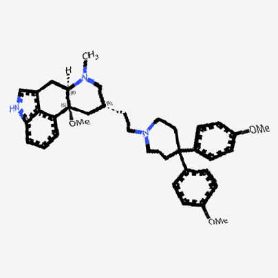 COc1ccc(C2(c3ccc(OC)cc3)CCN(CC[C@H]3CN(C)[C@@H]4Cc5c[nH]c6cccc(c56)[C@@]4(OC)C3)CC2)cc1